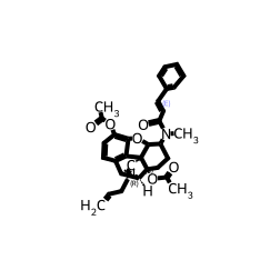 C=CCN1CC[C@]23c4c5ccc(OC(C)=O)c4OC2C(N(C)C(=O)/C=C/c2ccccc2)CC[C@@]3(OC(C)=O)[C@H]1C5